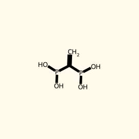 C=C(P(O)O)P(O)O